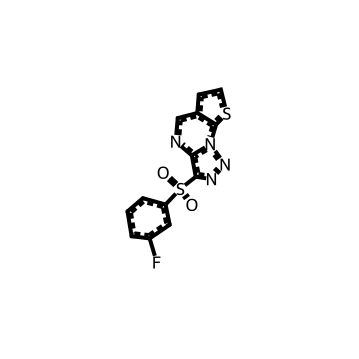 O=S(=O)(c1cccc(F)c1)c1nnn2c1ncc1ccsc12